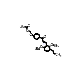 C=CCc1ccc(OC(C)(C)C)c(/C=C/C(=O)c2ccc(OCOC(=O)C(C)(C)C)cc2)c1OC(C)(C)C